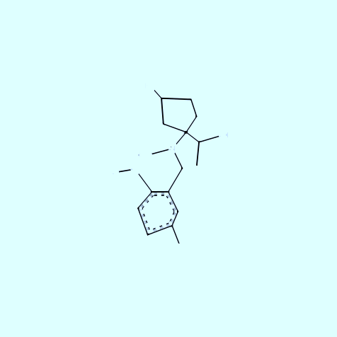 CC(O)C1(N(C=O)Cc2cc(C(F)(F)F)ccc2OC(C)(C)C)CCC(O)C1